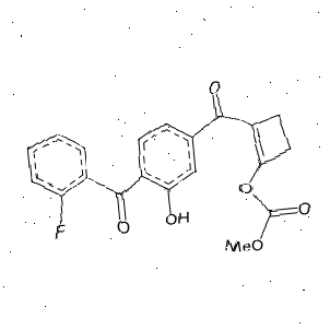 COC(=O)OC1=C(C(=O)c2ccc(C(=O)c3ccccc3F)c(O)c2)CC1